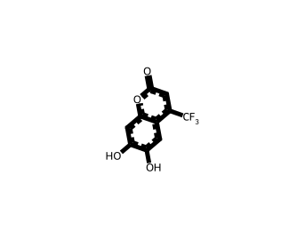 O=c1cc(C(F)(F)F)c2cc(O)c(O)cc2o1